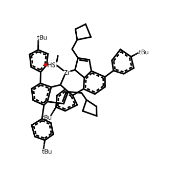 C[SiH](C)[Zr]([CH]1C(CC2CCC2)=Cc2c(-c3ccc(C(C)(C)C)cc3)ccc(-c3ccc(C(C)(C)C)cc3)c21)[CH]1C(CC2CCC2)=Cc2c(-c3ccc(C(C)(C)C)cc3)ccc(-c3ccc(C(C)(C)C)cc3)c21